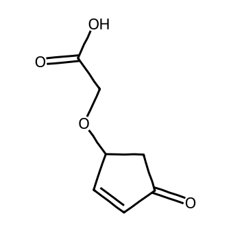 O=C(O)COC1C=CC(=O)C1